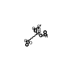 CCOC(=O)Cn1cc(N(CCCCCCCCN2C(=O)c3ccccc3C2=O)C(=O)[C@H]2CCCN(c3cncc4ccccc34)C2)ccc1=O